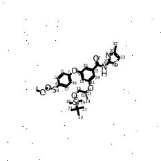 COOSc1ccc(Oc2cc(O[C@@H](C)CO[Si](C)(C)C(C)(C)C)cc(C(=O)Nc3nc(C)cs3)c2)cc1